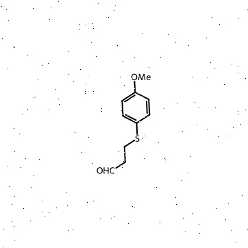 COc1ccc(SCCC=O)cc1